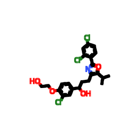 CC(C)c1oc(-c2ccc(Cl)cc2Cl)nc1CCC(O)c1ccc(OCCO)c(Cl)c1